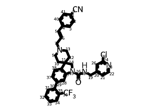 N#Cc1ccc(/C=C/CN2CCC3(CC2)CN(C(=O)NCc2ccnc(Cl)c2)c2cc(-c4ccccc4C(F)(F)F)ccc23)cc1